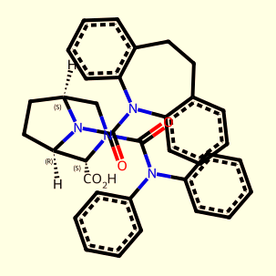 O=C(O)[C@@H]1[C@H]2CC[C@@H](CN1C(=O)N(c1ccccc1)c1ccccc1)N2C(=O)N1c2ccccc2CCc2ccccc21